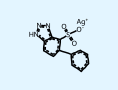 O=S(=O)([O-])c1c(-c2ccccc2)ccc2[nH]nnc12.[Ag+]